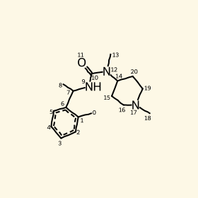 Cc1ccccc1C(C)NC(=O)N(C)C1CCN(C)CC1